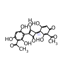 CC(=O)C1=C(O)/C(=C2\C(=O)C(c3c(O)cc(O)c(C(C)=O)c3O)=C2O)C(O)=CC1=O